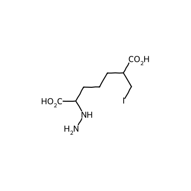 NNC(CCCC(CI)C(=O)O)C(=O)O